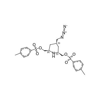 Cc1ccc(S(=O)(=O)OC[C@@H]2C[C@H](CN=[N+]=[N-])C[C@H](COS(=O)(=O)c3ccc(C)cc3)N2)cc1